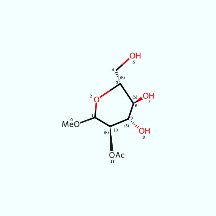 COC1O[C@H](CO)[C@@H](O)[C@H](O)[C@H]1OC(C)=O